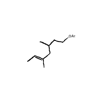 CC=C(C)CC(C)CCOC(C)=O